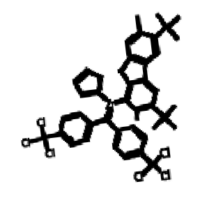 Cc1cc2c(cc1C(C)(C)C)-c1cc(C(C)(C)C)c(C)[c]([Zr]([C]3=CC=CC3)=[C](c3ccc(C(Cl)(Cl)Cl)cc3)c3ccc(C(Cl)(Cl)Cl)cc3)c1C2